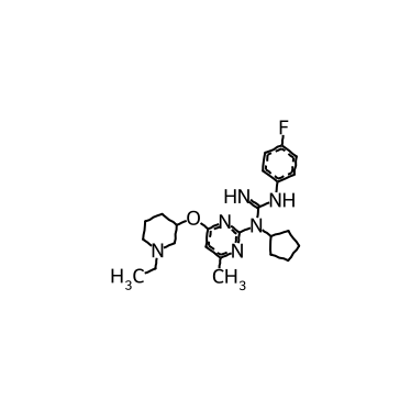 CCN1CCCC(Oc2cc(C)nc(N(C(=N)Nc3ccc(F)cc3)C3CCCC3)n2)C1